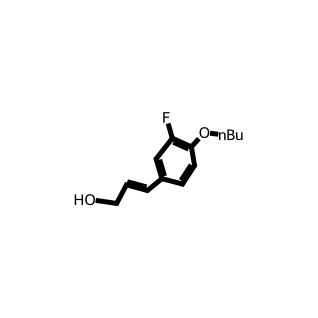 CCCCOc1ccc(C=CCO)cc1F